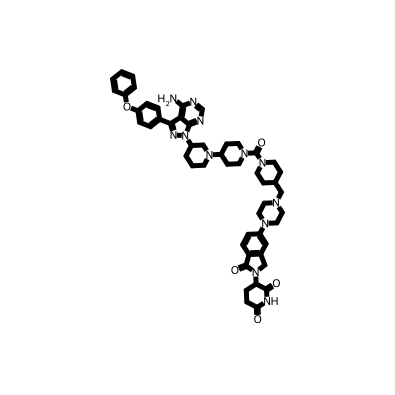 Nc1ncnc2c1c(-c1ccc(Oc3ccccc3)cc1)nn2C1CCCN(C2CCN(C(=O)N3CCC(CN4CCN(c5ccc6c(c5)CN(C5CCC(=O)NC5=O)C6=O)CC4)CC3)CC2)C1